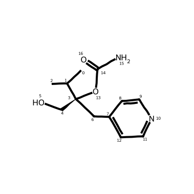 CC(C)[C@@](CO)(Cc1ccncc1)OC(N)=O